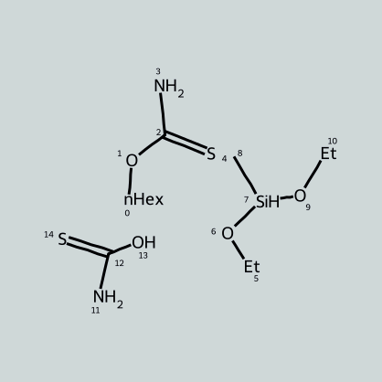 CCCCCCOC(N)=S.CCO[SiH](C)OCC.NC(O)=S